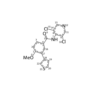 COc1ccc(C(=O)Nc2c(Cl)cncc2Cl)cc1-c1ccsc1